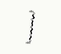 CCCCOCCOCCC[N]CCCOCCOCCCC